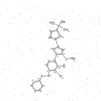 CC(C)(O)c1nnc(-c2nc(CO)c(-c3ccc(SCc4ccccc4)c(Cl)c3Cl)s2)o1